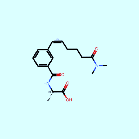 C[C@H](NC(=O)c1cccc(/C=C\CCCC(=O)N(C)C)c1)C(=O)O